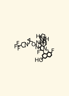 Cc1c(F)ccc2cc(O)cc(-c3nc4c5c(nc(OCC6(CN7CCC(C(F)(F)F)CC7)CC6)nc5c3F)N3C[C@H]5CC[C@H](N5)[C@H]3CC4)c12